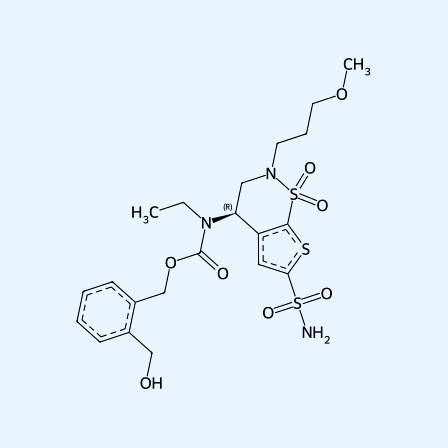 CCN(C(=O)OCc1ccccc1CO)[C@H]1CN(CCCOC)S(=O)(=O)c2sc(S(N)(=O)=O)cc21